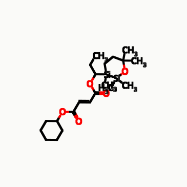 CCC(OC(=O)C=CC(=O)OC1CCCCC1)[Si]1(C)CCC(C)(C)O[Si]1(C)C